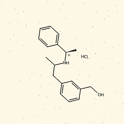 CC(Cc1cccc(CO)c1)N[C@H](C)c1ccccc1.Cl